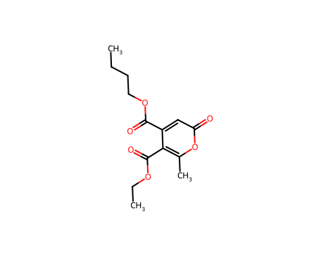 CCCCOC(=O)c1cc(=O)oc(C)c1C(=O)OCC